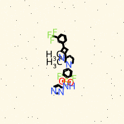 CN(C)C1(C2CC(c3cccc(C(F)(F)F)c3)C2)CCCN(c2cc(F)c(S(=O)(=O)Nc3ccncn3)c(F)c2)C1